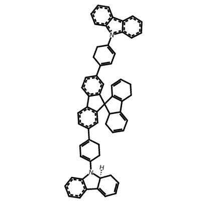 C1=CCC2C(=C1)C1=C(C=CCC1)C21c2cc(C3=CC=C(N4c5ccccc5C5=CC=CC[C@@H]54)CC3)ccc2-c2ccc(C3=CC=C(n4c5ccccc5c5ccccc54)CC3)cc21